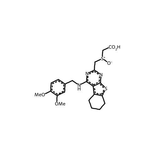 COc1ccc(CNc2nc(C[S+]([O-])CC(=O)O)nc3sc4c(c23)CCCC4)cc1OC